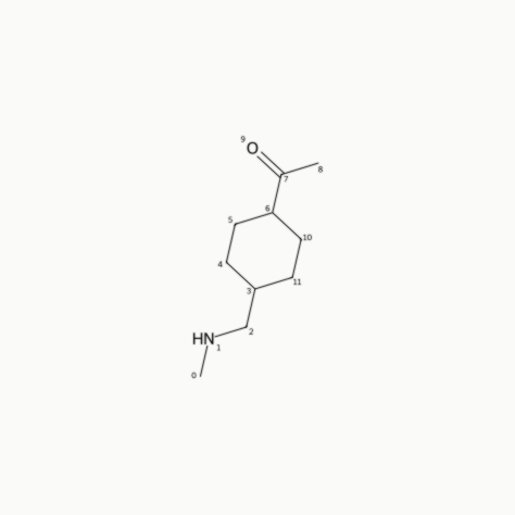 CNCC1CCC(C(C)=O)CC1